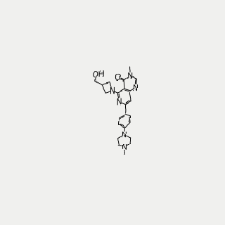 CN1CCN(c2ccc(-c3cc4ncn(C)c(=O)c4c(N4CC(CO)C4)n3)cc2)CC1